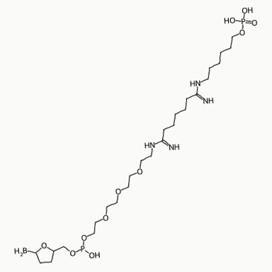 BC1CCC(COP(O)OCCOCCOCCOCCNC(=N)CCCCCC(=N)NCCCCCCOP(=O)(O)O)O1